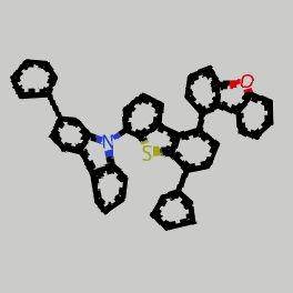 c1ccc(-c2ccc3c4ccccc4n(-c4cccc5c4sc4c(-c6ccccc6)ccc(-c6cccc7oc8ccccc8c67)c45)c3c2)cc1